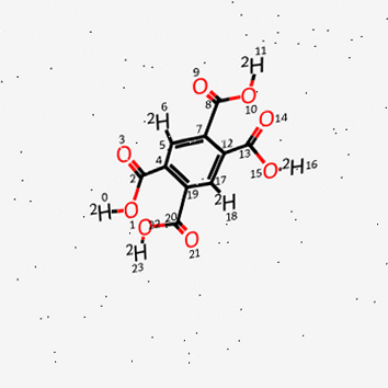 [2H]OC(=O)c1c([2H])c(C(=O)O[2H])c(C(=O)O[2H])c([2H])c1C(=O)O[2H]